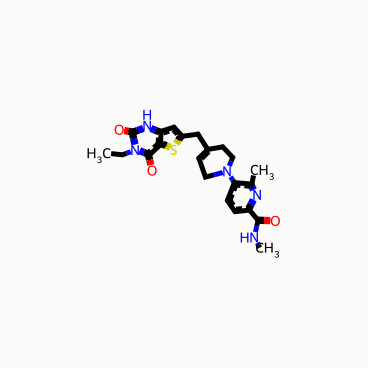 CCn1c(=O)[nH]c2cc(CC3=CCN(c4ccc(C(=O)NC)nc4C)CC3)sc2c1=O